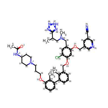 CC(=O)NC1CCN(CCCOc2cccc(-c3cccc(COc4cc(OCc5cncc(C#N)c5)c(CN(C)CC(C)c5nn[nH]n5)cc4Cl)c3C)c2C)CC1